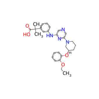 CCOc1ccccc1O[C@@H]1CCCN(c2cncc(Nc3cccc(C(C)(C)C(=O)O)c3)n2)C1